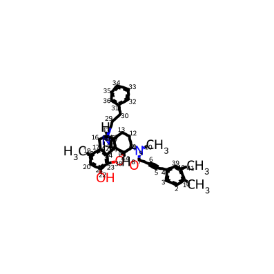 Cc1ccc(C#CC(=O)N(C)[C@@H]2CC[C@H]3[C@H]4Cc5c(C)cc(O)c6c5[C@@]3(CCN4CCc3ccccc3)[C@H]2O6)cc1C